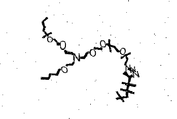 CCCCCOCCN(CCOCCOC(C)(C)CCCC)CCOCCOC(C)(C)CCOC(C)(C)CCn1cc(C(C)(C)C(C)(C)CC(C)(C)C)nn1